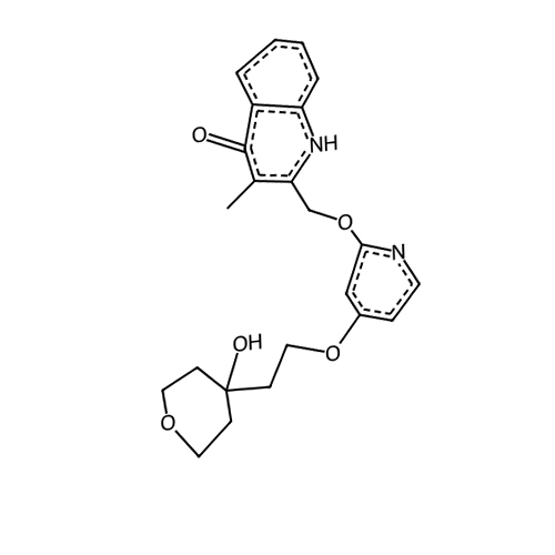 Cc1c(COc2cc(OCCC3(O)CCOCC3)ccn2)[nH]c2ccccc2c1=O